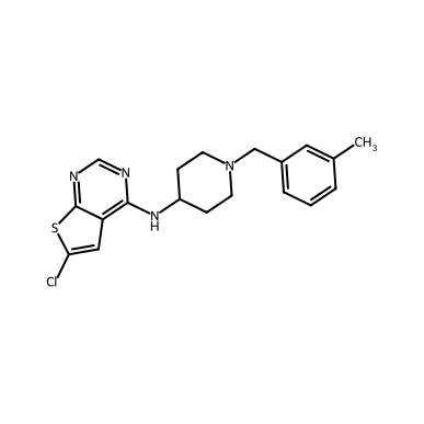 Cc1cccc(CN2CCC(Nc3ncnc4sc(Cl)cc34)CC2)c1